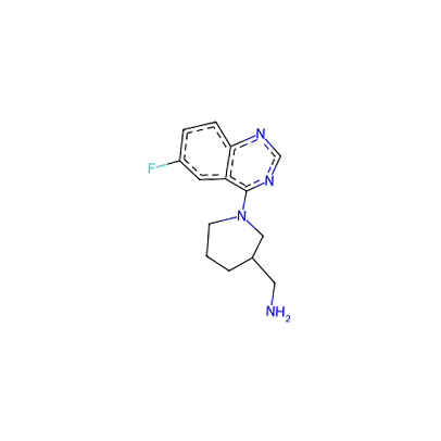 NCC1CCCN(c2ncnc3ccc(F)cc23)C1